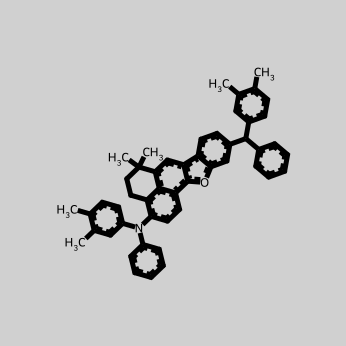 Cc1ccc(C(c2ccccc2)c2ccc3c(c2)oc2c4ccc(N(c5ccccc5)c5ccc(C)c(C)c5)c5c4c(cc32)C(C)(C)CC5)cc1C